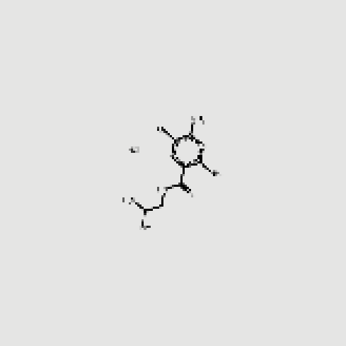 CCC[C@@H](N)CNC(=O)c1nc(Cl)c(N)nc1N.Cl